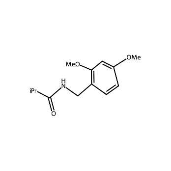 COc1ccc(CNC(=O)C(C)C)c(OC)c1